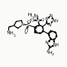 NCC1CCN(S(=O)(=O)c2ccc(-c3cccc4[nH]c(N)nc34)c(-c3nn[nH]n3)c2S(N)(=O)=O)C1